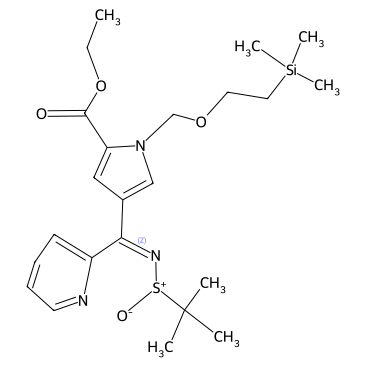 CCOC(=O)c1cc(/C(=N/[S+]([O-])C(C)(C)C)c2ccccn2)cn1COCC[Si](C)(C)C